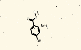 COC(=O)c1ccc(O)cc1.[BeH2]